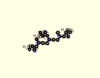 CC1(C)c2ccccc2-c2c1ccc(-c1cccc(-c3cc(-c4ccc(-c5cccc(-c6cc(-c7ccc(-c8cccc(-c9cc(-c%10cccc(-c%11ccc%12c(c%11-c%11ccccn%11)-c%11ccccc%11C%12(C)C)c%10)cc(-c%10ccccc%10)n9)c8)cc7)cc(-c7cccc(-c8ccc9c(c8-c8cccnc8)-c8ccccc8C9(C)C)c7)n6)c5)cc4)cc(-c4ccccc4)n3)c1)c2-c1ccncc1